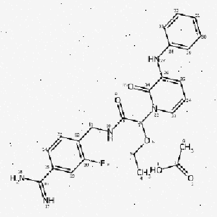 CC(=O)O.CCOC(C(=O)NCc1ccc(C(=N)N)cc1F)n1cccc(Nc2ccccc2)c1=O